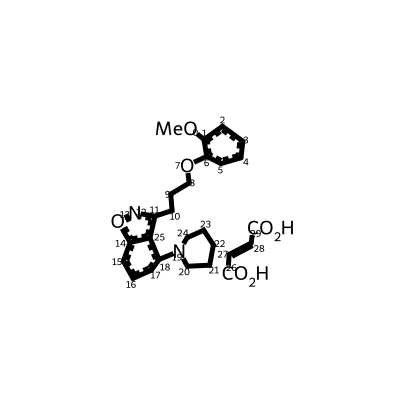 COc1ccccc1OCCCc1noc2cccc(N3CCCCC3)c12.O=C(O)C=CC(=O)O